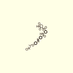 CC(COc1ccc(/N=N/c2ccc(C(=O)Nc3cccc4c3CN(C3CCC(=O)NC3=O)C4=O)cc2)cc1)CC(C)(C)Cl